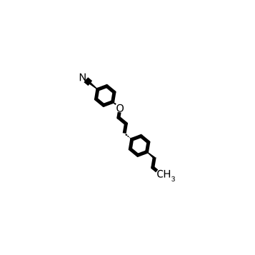 CCC[C@H]1CC[C@H](CCCO[C@H]2CC[C@H](C#N)CC2)CC1